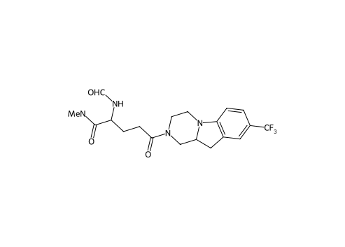 CNC(=O)C(CCC(=O)N1CCN2c3ccc(C(F)(F)F)cc3CC2C1)NC=O